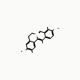 COc1cc2c(cc1O)-c1c(C)c3ccc(OC)c(O)c3c[n+]1CC2